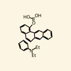 CCN(CC)c1ccccc1.OB(O)Oc1cccc2ccc3cc4ccccc4cc3c12